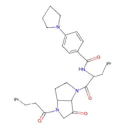 CC(C)CCC(=O)N1CC(=O)C2C1CCN2C(=O)C(CC(C)C)NC(=O)c1ccc(N2CCCC2)cc1